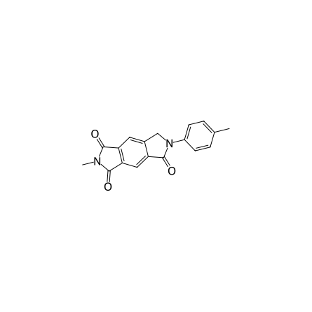 Cc1ccc(N2Cc3cc4c(cc3C2=O)C(=O)N(C)C4=O)cc1